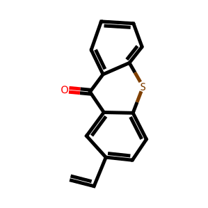 C=Cc1ccc2sc3ccccc3c(=O)c2c1